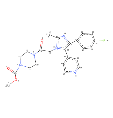 CC(C)(C)OC(=O)N1CCN(C(=O)Cn2c(C(F)(F)F)nc(-c3ccc(F)cc3)c2-c2ccncc2)CC1